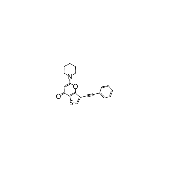 O=c1cc(N2CCCCC2)oc2c(C#Cc3ccccc3)csc12